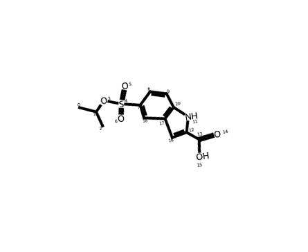 CC(C)OS(=O)(=O)c1ccc2[nH]c(C(=O)O)cc2c1